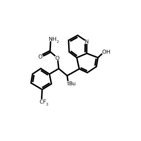 CC(C)(C)C(c1ccc(O)c2ncccc12)C(OC(N)=O)c1cccc(C(F)(F)F)c1